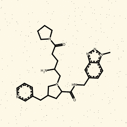 Cn1nnc2cc(CNC(=O)C3CC(Cc4cccnc4)CN3CC(N)CCC(=O)N3CCCC3)ccc21